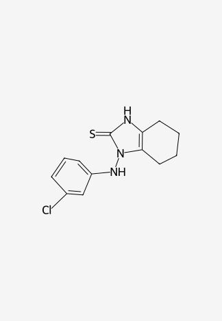 S=c1[nH]c2c(n1Nc1cccc(Cl)c1)CCCC2